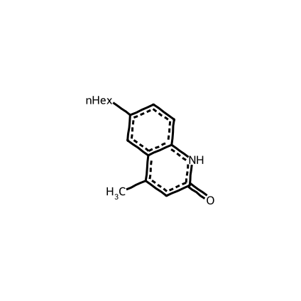 CCCCCCc1ccc2[nH]c(=O)cc(C)c2c1